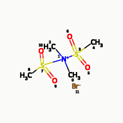 C[N+](C)(S(C)(=O)=O)S(C)(=O)=O.[Br-]